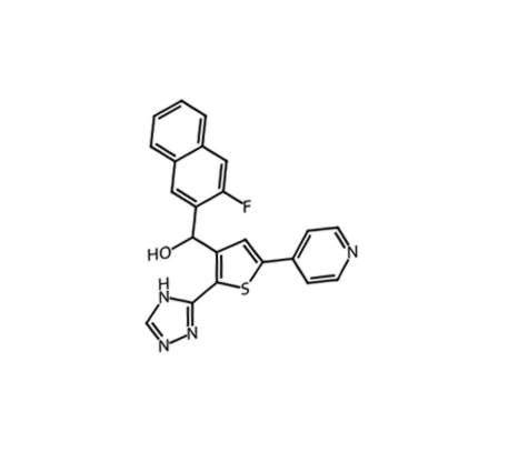 OC(c1cc2ccccc2cc1F)c1cc(-c2ccncc2)sc1-c1nnc[nH]1